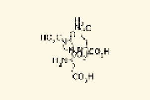 NC(=O)CCC(N)C(=O)O.NC(CCC(=O)O)C(=O)O.O=C(O)N1CCCC1=O